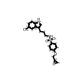 O=S(=O)(NCCCc1c[nH]c2ccc(Cl)cc12)c1ccc(OCC2CO2)cc1